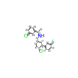 C[C@@H](NCc1ccc(Cl)c(-c2cccc(F)c2)c1)c1cccc(Cl)c1